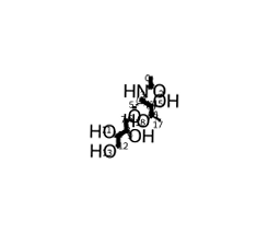 CC(=O)N[C@@H](COCC(O)C(O)CO)[C@H](O)[C@@H](C)O